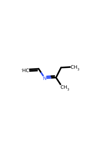 [CH]=CN=C(C)CC